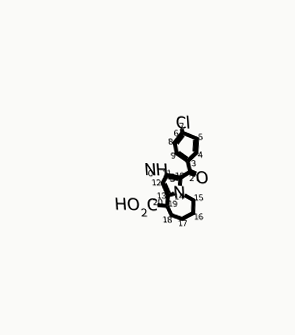 N.O=C(c1ccc(Cl)cc1)c1ccc2n1CCCCC2C(=O)O